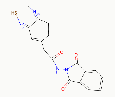 C/N=C1/C=CC(CC(=O)NN2C(=O)c3ccccc3C2=O)=C/C1=N/S